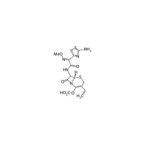 C=CC1=C(OC(=O)O)N2C(=O)C(NC(=O)C(=NOC)c3csc(N)n3)[C@@H]2SC1